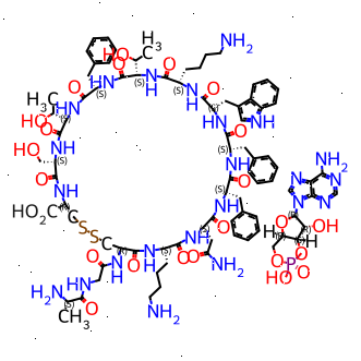 CC(O)[C@@H]1NC(=O)[C@H](Cc2ccccc2)NC(=O)[C@H](C(C)O)NC(=O)[C@H](CCCCN)NC(=O)[C@H](Cc2c[nH]c3ccccc23)NC(=O)[C@H](Cc2ccccc2)NC(=O)[C@H](Cc2ccccc2)NC(=O)[C@H](CC(N)=O)NC(=O)[C@H](CCCCN)NC(=O)[C@@H](NC(=O)CNC(=O)[C@H](C)N)CSSC[C@@H](C(=O)O)NC(=O)[C@H](CO)NC1=O.Nc1ncnc2c1ncn2[C@@H]1O[C@@H]2COP(=O)(O)O[C@H]2[C@H]1O